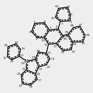 c1ccc(-c2c3ccccc3c(-c3ccc4c5ccccc5n(-c5ccccc5)c4c3)c3ccc4ccccc4c23)cc1